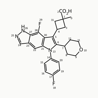 CC1(C(=O)O)CC(c2c(C3CCOCC3)n(-c3ccc(F)cc3)c3cc4cn[nH]c4c(F)c23)C1